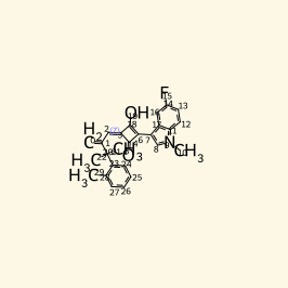 C=C(/C=C1\C(=O)C(c2cn(C)c3ccc(F)cc23)=C1O)C(C)(C)c1ccccc1C